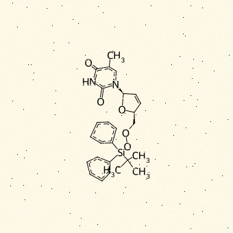 Cc1cn([C@H]2C=C[C@@H](COO[Si](c3ccccc3)(c3ccccc3)C(C)(C)C)O2)c(=O)[nH]c1=O